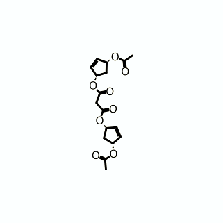 CC(=O)O[C@H]1C=C[C@@H](OC(=O)CC(=O)O[C@@H]2C=C[C@H](OC(C)=O)C2)C1